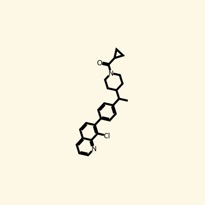 CC(c1ccc(-c2ccc3cccnc3c2Cl)cc1)C1CCN(C(=O)C2CC2)CC1